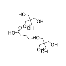 CCCCC(=O)O.OCC(CO)(CO)CO.OCC(CO)(CO)CO